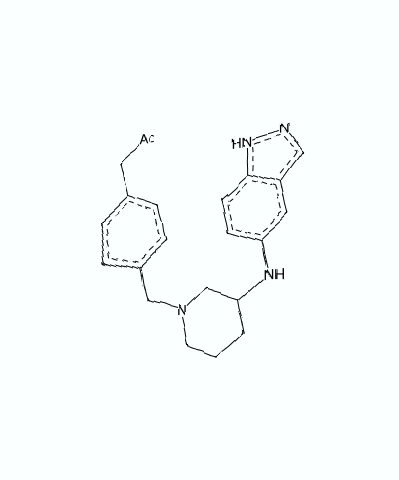 CC(=O)Cc1ccc(CN2CCCC(Nc3ccc4[nH]ncc4c3)C2)cc1